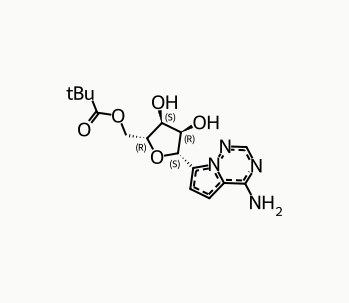 CC(C)(C)C(=O)OC[C@H]1O[C@@H](c2ccc3c(N)ncnn23)[C@H](O)[C@@H]1O